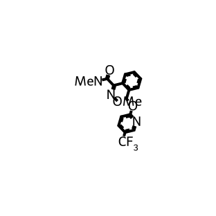 CNC(=O)/C(=N/OC)c1ccccc1COc1ccc(C(F)(F)F)cn1